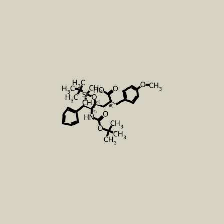 COc1ccc(C[C@H](C[C@H](O[Si](C)(C)C(C)(C)C)[C@H](Cc2ccccc2)NC(=O)OC(C)(C)C)C(=O)O)cc1